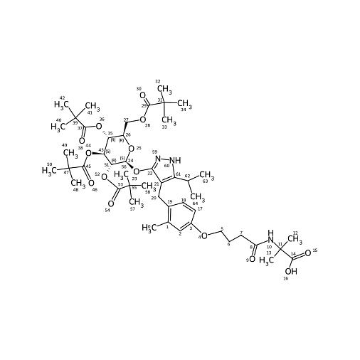 Cc1cc(OCCCC(=O)NC(C)(C)C(=O)O)ccc1Cc1c(O[C@@H]2O[C@H](COC(=O)C(C)(C)C)[C@@H](OC(=O)C(C)(C)C)[C@H](OC(=O)C(C)(C)C)[C@H]2OC(=O)C(C)(C)C)n[nH]c1C(C)C